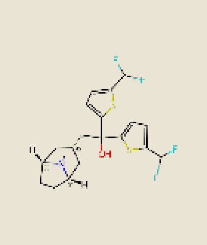 CN1[C@@H]2CC[C@H]1C[C@@H](CC(O)(c1ccc(C(F)F)s1)c1ccc(C(F)F)s1)C2